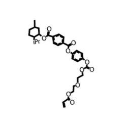 C=CC(=O)OCCOCCOC(=O)Oc1ccc(OC(=O)c2ccc(C(=O)OC3CC(C)CCC3C(C)C)cc2)cc1